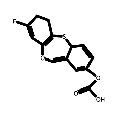 O=C(O)OC1=CC2=COC3=C(CCC(F)=C3)SC2C=C1